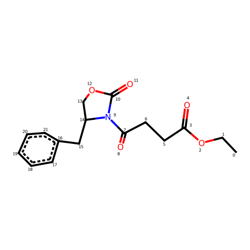 CCOC(=O)CCC(=O)N1C(=O)OCC1Cc1ccccc1